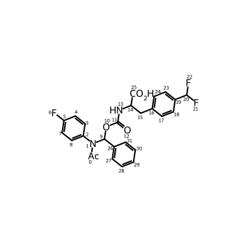 CC(=O)N(c1ccc(F)cc1)C(OC(=O)NC(Cc1ccc(C(F)F)cc1)C(=O)O)c1ccccc1